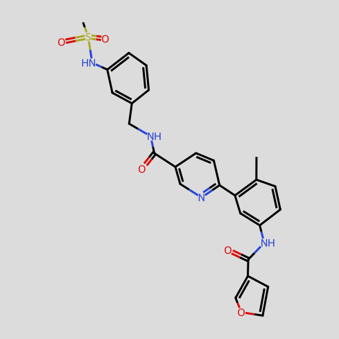 Cc1ccc(NC(=O)c2ccoc2)cc1-c1ccc(C(=O)NCc2cccc(NS(C)(=O)=O)c2)cn1